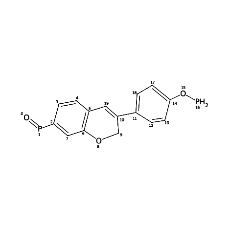 O=Pc1ccc2c(c1)OCC(c1ccc(OP)cc1)=C2